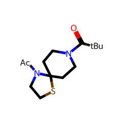 CC(=O)N1CCSC12CCN(C(=O)C(C)(C)C)CC2